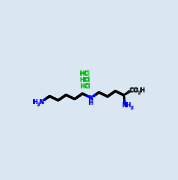 Cl.Cl.Cl.NCCCCCNCCC[C@H](N)C(=O)O